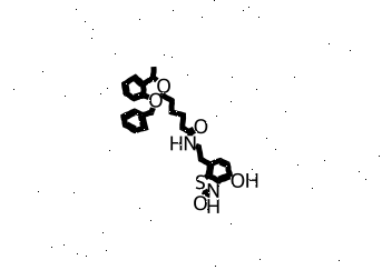 CC(OCCCCCC(=O)NCCc1ccc(O)c2[nH]c(=O)sc12)c1ccccc1OCc1ccccc1